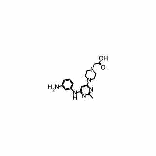 Cc1nc(Nc2cccc(N)c2)cc(N2CCN(CC(=O)O)CC2)n1